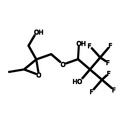 CC1OC1(CO)COC(O)C(O)(C(F)(F)F)C(F)(F)F